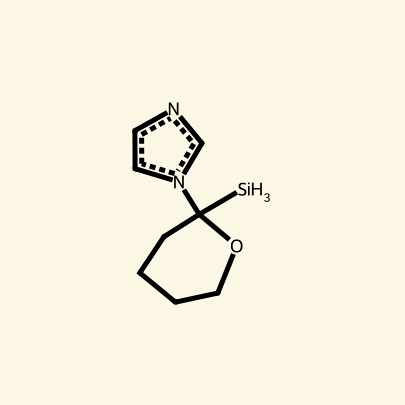 [SiH3]C1(n2ccnc2)CCCCO1